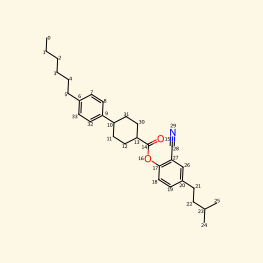 CCCCCCc1ccc(C2CCC(C(=O)Oc3ccc(CCC(C)C)cc3C#N)CC2)cc1